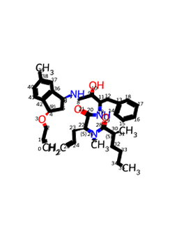 C=CCO[C@@H]1C[C@H](NCC(O)C(Cc2ccccc2)NC(=O)[C@H](CC=C)N(C)C(=O)[C@@H](C)CCCC)c2cc(C)ccc21